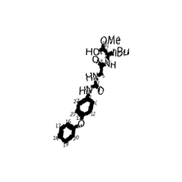 CCCCC(NC(=O)CNC(=O)Nc1ccc(Oc2ccccc2)cc1)C(O)OC